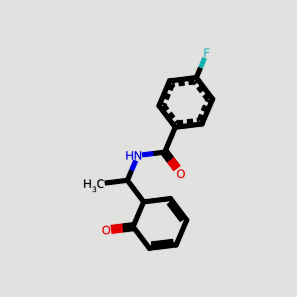 CC(NC(=O)c1ccc(F)cc1)C1C=CC=CC1=O